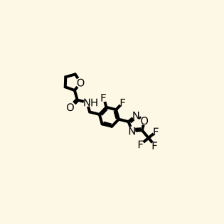 O=C(NCc1ccc(-c2noc(C(F)(F)F)n2)c(F)c1F)C1CCCO1